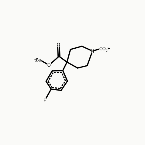 CC(C)(C)OC(=O)C1(c2ccc(F)cc2)CCN(C(=O)O)CC1